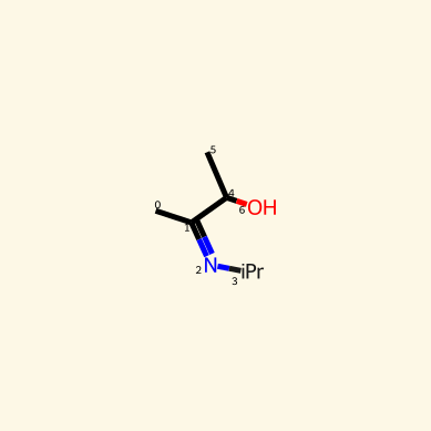 CC(=NC(C)C)C(C)O